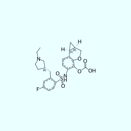 CCN1CC[C@@H](Cc2cc(F)ccc2S(=O)(=O)Nc2ccc3c(c2OC(=O)O)OC[C@@H]2C[C@H]32)C1